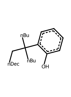 CCCCCCCCCCCC(CCCC)(CCCC)c1ccccc1O